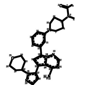 CC(=O)N(C)C1CCN(c2cccc(-c3cc(-c4ccnn4C4CCOCC4)c4c(N)ncnn34)c2)CC1